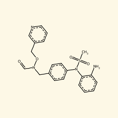 CS(=O)(=O)N(c1ccc(CN(C=O)OCc2cccnc2)cc1)c1ccccc1N